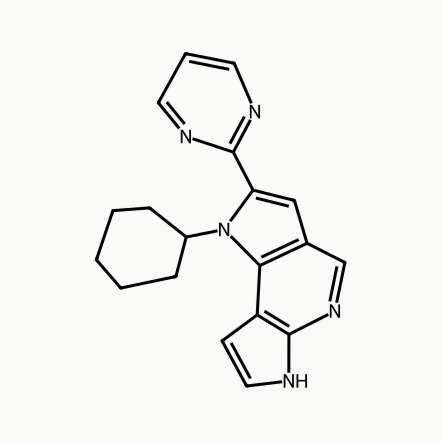 c1cnc(-c2cc3cnc4[nH]ccc4c3n2C2CCCCC2)nc1